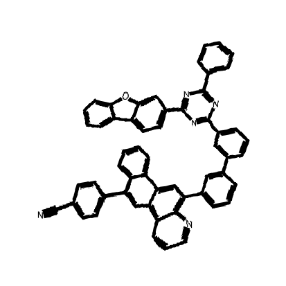 N#Cc1ccc(-c2cc3c4cccnc4c(-c4cccc(-c5cccc(-c6nc(-c7ccccc7)nc(-c7ccc8c(c7)oc7ccccc78)n6)c5)c4)cc3c3ccccc23)cc1